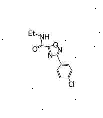 CCNC(=O)c1nc(-c2ccc(Cl)cc2)no1